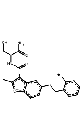 Cc1oc2ccc(OCc3cccnc3O)cc2c1C(=O)NC(CO)C(N)=O